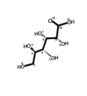 OC[C@@H](O)[C@@H](O)[C@H](O)[C@@H](O)C(O)Cl